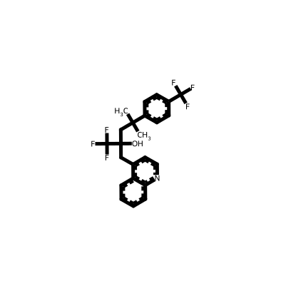 CC(C)(CC(O)(Cc1ccnc2ccccc12)C(F)(F)F)c1ccc(C(F)(F)F)cc1